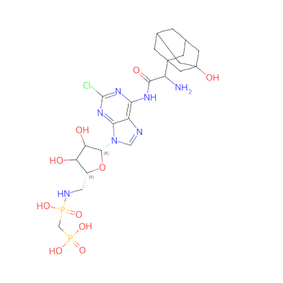 NC(C(=O)Nc1nc(Cl)nc2c1ncn2[C@@H]1O[C@H](CNP(=O)(O)CP(=O)(O)O)C(O)C1O)C12CC3CC(CC(O)(C3)C1)C2